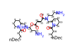 CCCCCCCCCCCCC(=O)N1CCCCC1CNC(CCN)OC(=O)/C=C/C(=O)N(CCCN)CC1CCCCN1C(=O)CCCCCCCCCCCC